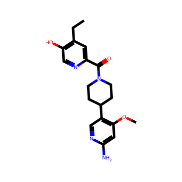 CCc1cc(C(=O)N2CCC(c3cnc(N)cc3OC)CC2)ncc1O